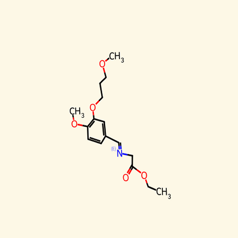 CCOC(=O)C/N=C/c1ccc(OC)c(OCCCOC)c1